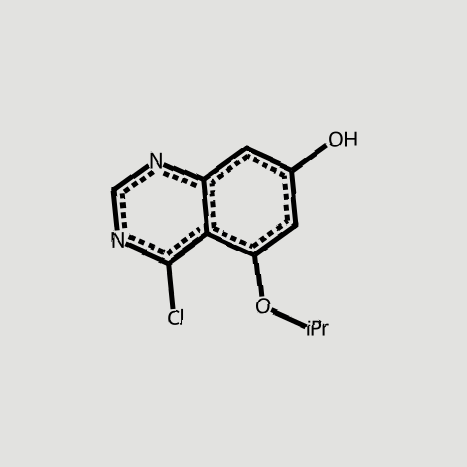 CC(C)Oc1cc(O)cc2ncnc(Cl)c12